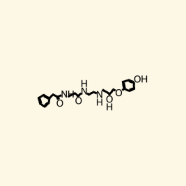 O=C(CCNC(=O)Cc1ccccc1)NCCNCC(O)COc1ccc(O)cc1